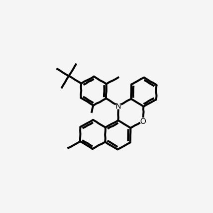 Cc1ccc2c3c(ccc2c1)Oc1ccccc1N3c1c(C)cc(C(C)(C)C)cc1C